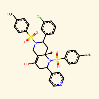 Cc1ccc(S(=O)(=O)N2CC3=C(O)CC(c4ccncc4)N(S(=O)(=O)c4ccc(C)cc4)[C@H]3CC2c2cccc(Cl)c2)cc1